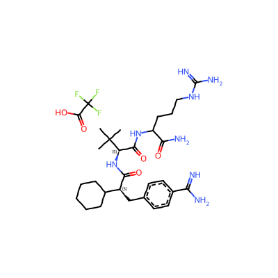 CC(C)(C)[C@H](NC(=O)[C@@H](Cc1ccc(C(=N)N)cc1)C1CCCCC1)C(=O)NC(CCCNC(=N)N)C(N)=O.O=C(O)C(F)(F)F